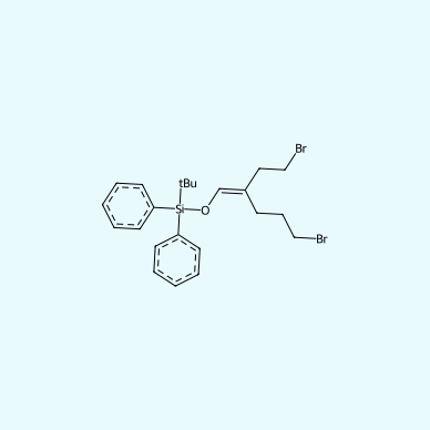 CC(C)(C)[Si](O/C=C(/CCBr)CCCBr)(c1ccccc1)c1ccccc1